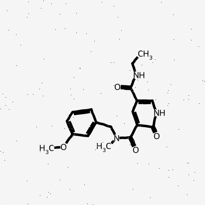 CCNC(=O)c1c[nH]c(=O)c(C(=O)N(C)Cc2cccc(OC)c2)c1